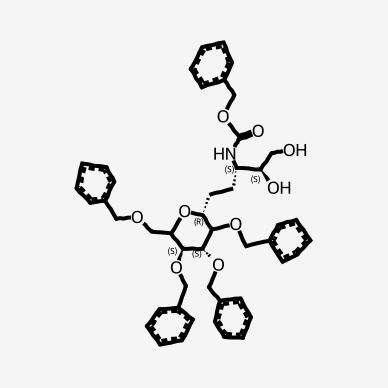 O=C(N[C@@H](CC[C@H]1OC(COCc2ccccc2)[C@H](OCc2ccccc2)[C@@H](OCc2ccccc2)C1OCc1ccccc1)[C@H](O)CO)OCc1ccccc1